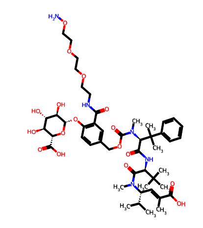 C/C(=C\[C@H](C(C)C)N(C)C(=O)[C@@H](NC(=O)[C@@H](N(C)C(=O)OCc1ccc(O[C@@H]2O[C@H](C(=O)O)[C@@H](O)[C@H](O)[C@H]2O)c(C(=O)NCCOCCOCCON)c1)C(C)(C)c1ccccc1)C(C)(C)C)C(=O)O